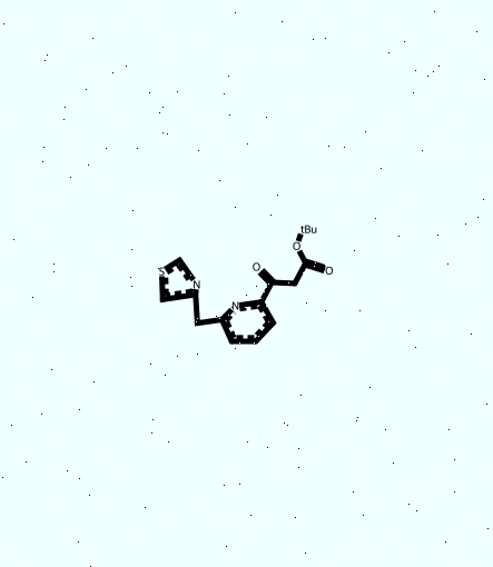 CC(C)(C)OC(=O)CC(=O)c1cccc(Cc2cscn2)n1